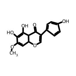 COC1=CC2OC=C(c3ccc(O)cc3)C(=O)C2C(O)=C1O